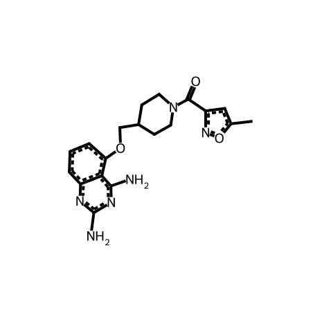 Cc1cc(C(=O)N2CCC(COc3cccc4nc(N)nc(N)c34)CC2)no1